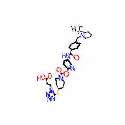 CC1CCCCN1Cc1ccc(C(=O)Nc2ccc(OC(=O)N3CCC(Sc4nnnn4CCC(=O)O)CC3)nc2)cc1